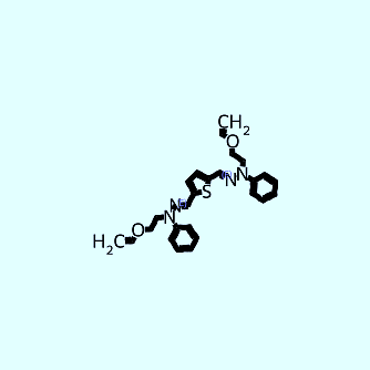 C=COCCN(/N=C/c1ccc(/C=N/N(CCOC=C)c2ccccc2)s1)c1ccccc1